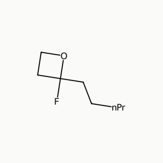 CCCCCC1(F)CCO1